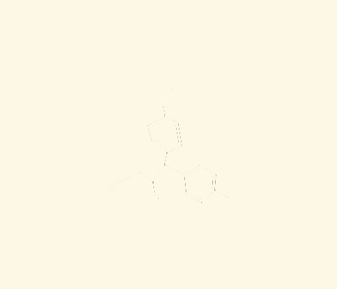 C#CCC(O)C(c1ccc(C)cc1)c1ccc(OC)cc1